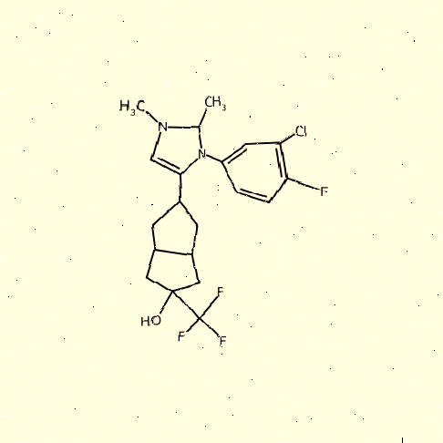 CC1N(C)C=C(C2CC3CC(O)(C(F)(F)F)CC3C2)N1c1ccc(F)c(Cl)c1